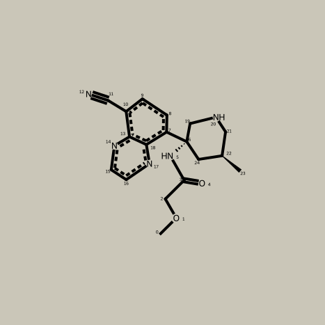 COCC(=O)N[C@]1(c2ccc(C#N)c3nccnc23)CNC[C@@H](C)C1